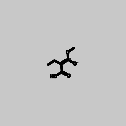 CC/C(C(=O)O)=[P+](/[O-])OC